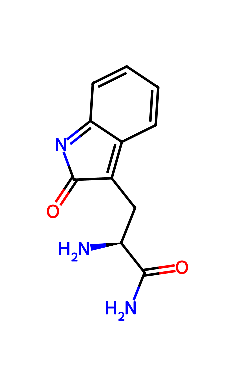 NC(=O)[C@@H](N)CC1=c2ccccc2=NC1=O